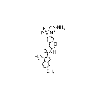 Cc1ccc2c(N)c(C(=O)N[C@H]3COc4cc(N5C[C@H](N)CC[C@@H]5C(F)(F)F)ccc4C3)sc2n1